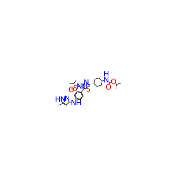 Cc1cc(Nc2ccc(-c3cnc([C@H]4CC[C@H](NC(=O)OC(C)C)CC4)s3)c(S(=N)(=O)C(C)C)c2)n[nH]1